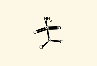 NS(=O)(=O)N(Cl)Cl